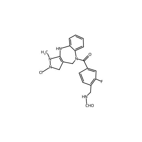 CN1C2=C(CN(C(=O)c3ccc(CNC=O)c(F)c3)c3ccccc3N2)CN1Cl